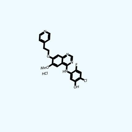 COc1cc2c(Nc3cc(O)c(Cl)cc3F)ncnc2cc1OCCc1ccncc1.Cl